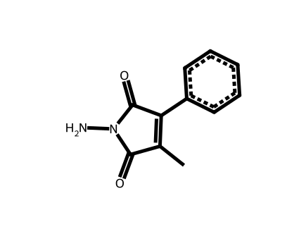 CC1=C(c2ccccc2)C(=O)N(N)C1=O